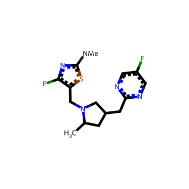 CNc1nc(F)c(CN2CC(Cc3ncc(F)cn3)CC2C)s1